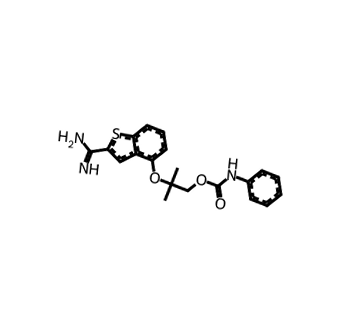 CC(C)(COC(=O)Nc1ccccc1)Oc1cccc2sc(C(=N)N)cc12